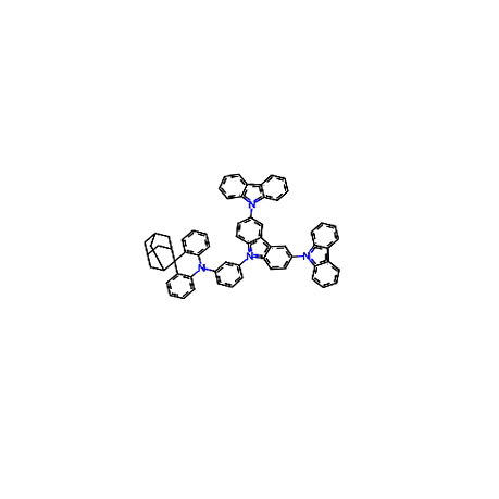 c1cc(N2c3ccccc3C3(c4ccccc42)C2CC4CC(C2)CC3C4)cc(-n2c3ccc(-n4c5ccccc5c5ccccc54)cc3c3cc(-n4c5ccccc5c5ccccc54)ccc32)c1